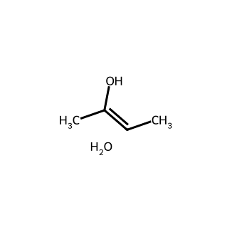 CC=C(C)O.O